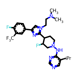 CC(C)c1cncnc1NN1CCC(c2nc(-c3ccc(F)c(C(F)(F)F)c3)cn2CCN(C)C)C(F)C1